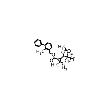 CC(=O)OC(C1C(C(=O)OCc2cccc(-c3ccccc3)c2C)C1(C)C)C(Cl)(Cl)C(F)(F)F